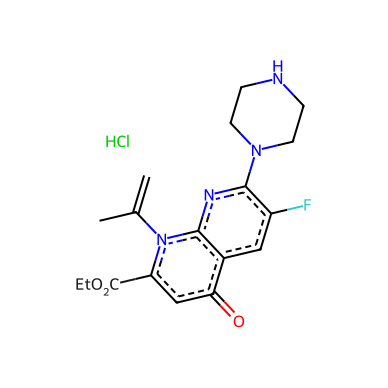 C=C(C)n1c(C(=O)OCC)cc(=O)c2cc(F)c(N3CCNCC3)nc21.Cl